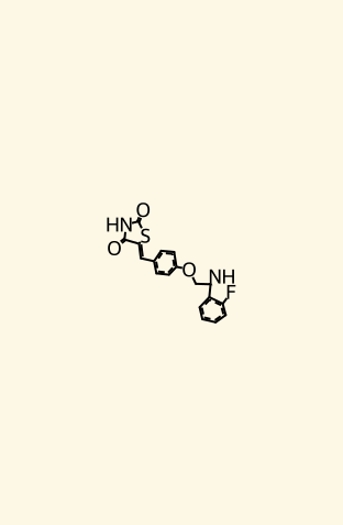 N=C(COc1ccc(/C=C2\SC(=O)NC2=O)cc1)c1ccccc1F